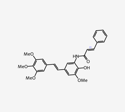 COc1cc(C=Cc2cc(OC)c(OC)c(OC)c2)cc(NC(=O)/C=C/c2ccccc2)c1O